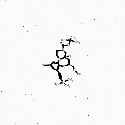 COC[C@@H]1C[C@H]2CN(C(=O)OC(C)(C)C)CCN2c2cc(F)cc(C#C[Si](C)(C)C)c2O1